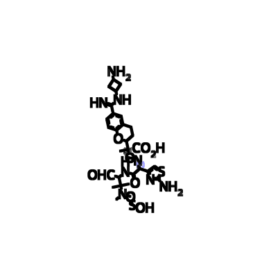 CN(OSO)C(C)(C)C(C=O)NC(=O)/C(=N\O[C@](C)(C(=O)O)C1CCc2cc(C(=N)NC3CC(N)C3)ccc2O1)c1csc(N)n1